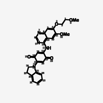 COCCOc1cc2ncnc(NC3=CC(=O)C(N4CCc5ccccc54)=CC3=O)c2cc1OC